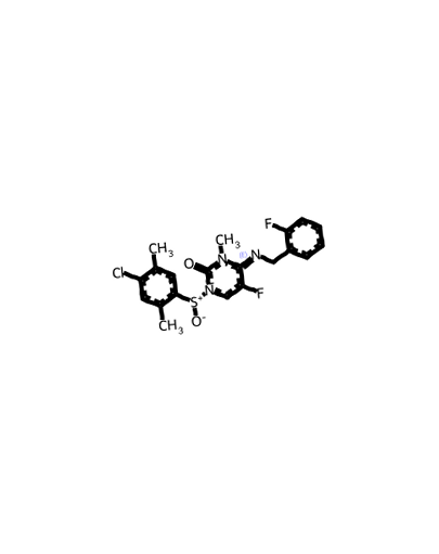 Cc1cc([S+]([O-])n2cc(F)/c(=N\Cc3ccccc3F)n(C)c2=O)c(C)cc1Cl